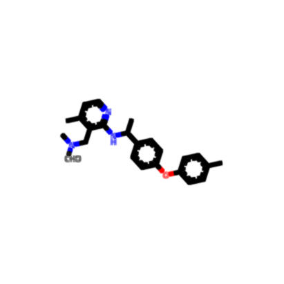 Cc1ccc(Oc2ccc(C(C)Nc3nccc(C)c3CN(C)C=O)cc2)cc1